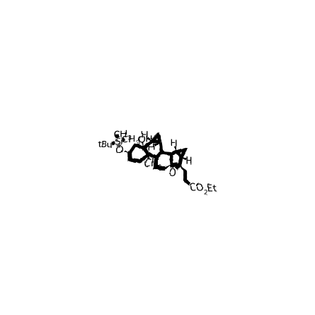 CCOC(=O)CC[C@@]12O[C@@]13CCC1C(C3[C@@H]3C[C@@H]32)[C@H]2C[C@H]2[C@]2(O)C[C@@H](O[Si](C)(C)C(C)(C)C)CC[C@]12C